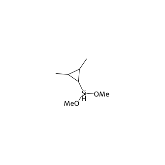 CO[SiH](OC)C1C(C)C1C